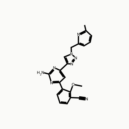 COc1c(C#N)cccc1-c1cc(-c2cn(Cc3cccc(C)n3)nn2)nc(N)n1